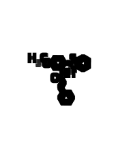 COc1ccc(-c2nc3ccccc3s2)c(NC(=O)/C=C/c2ccccc2)c1